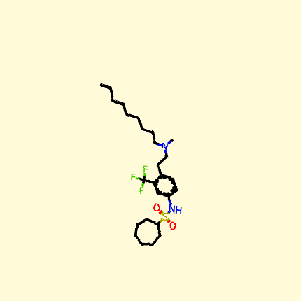 CCCCCCCCCN(C)CCc1ccc(NS(=O)(=O)C2CCCCCC2)cc1C(F)(F)F